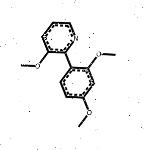 COc1ccc(-c2nc[c]cc2OC)c(OC)c1